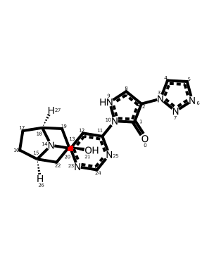 O=c1c(-n2ccnn2)c[nH]n1-c1cc(N2[C@@H]3CC[C@H]2C[C@@H](O)C3)ncn1